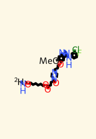 [2H]NCOCCCCCCOC(=O)CCC(=O)N1CCN(CCCOc2cc3c(Nc4ccc(F)c(Cl)c4)ncnc3cc2OC)CC1